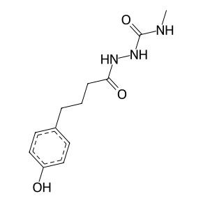 CNC(=O)NNC(=O)CCCc1ccc(O)cc1